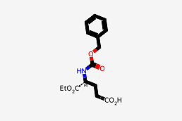 CCOC(=O)[C@@H](CCC(=O)O)NC(=O)OCc1ccccc1